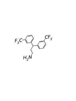 NCCC(c1cccc(C(F)(F)F)c1)c1cccc(C(F)(F)F)c1